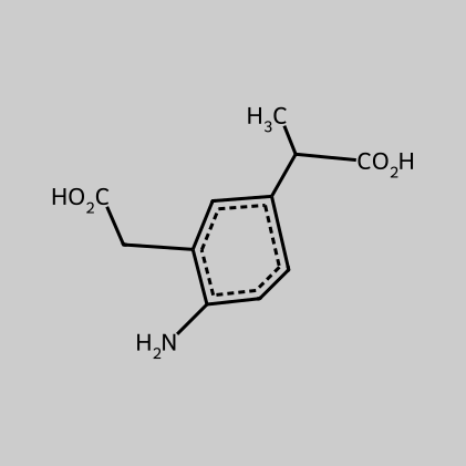 CC(C(=O)O)c1ccc(N)c(CC(=O)O)c1